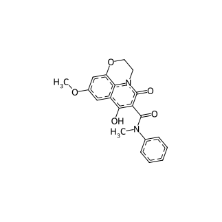 COc1cc2c3c(c1)c(O)c(C(=O)N(C)c1ccccc1)c(=O)n3CCO2